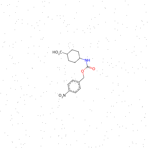 O=C(NC1CCC(C(=O)O)CC1)OCc1ccc([N+](=O)[O-])cc1